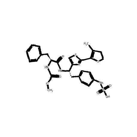 COC(=O)N[C@@H](Cc1ccccc1)C(=O)N[C@@H](Cc1ccc(NS(=O)(=O)O)cc1)c1csc(C2=C(C)CCS2)n1